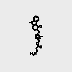 Cc1n(CC2CCc3c(c4ccccc4n3C)C2=O)cc[n+]1COC(=O)CCN